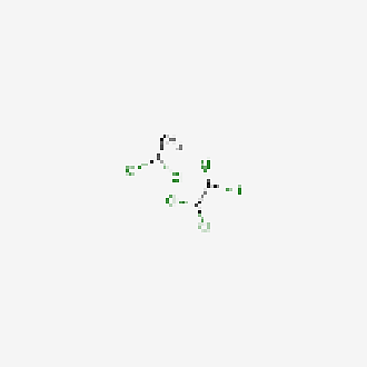 CC(Cl)Cl.ClC(Cl)C(Cl)Cl